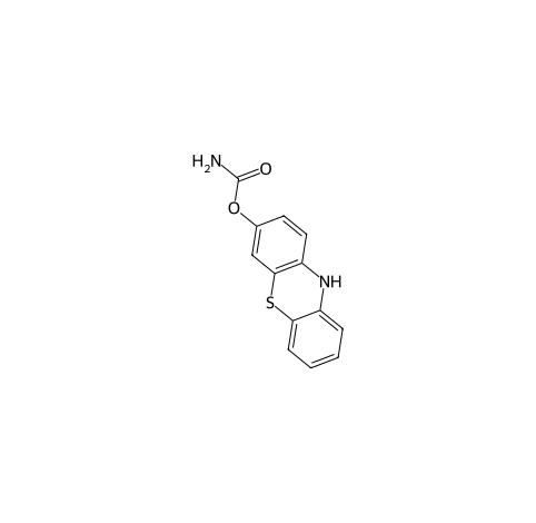 NC(=O)Oc1ccc2c(c1)Sc1ccccc1N2